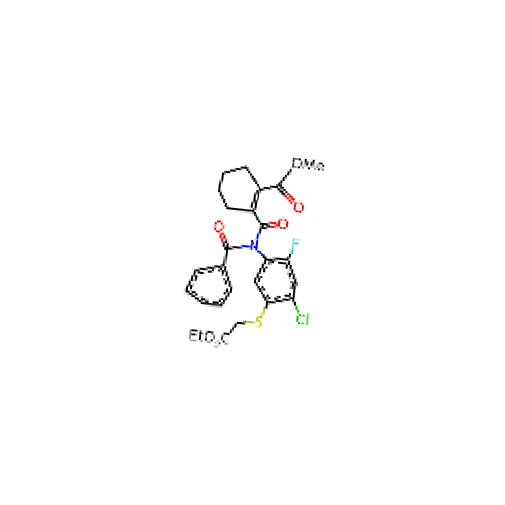 CCOC(=O)CSc1cc(N(C(=O)C2=C(C(=O)OC)CCCC2)C(=O)c2ccccc2)c(F)cc1Cl